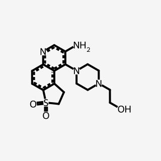 Nc1cnc2ccc3c(c2c1N1CCN(CCO)CC1)CCS3(=O)=O